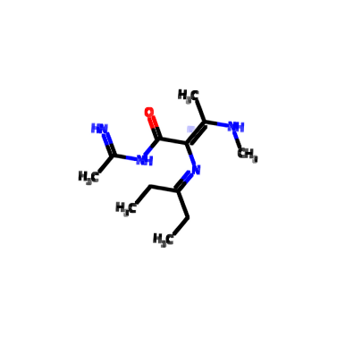 CCC(CC)=N/C(C(=O)NC(C)=N)=C(/C)NC